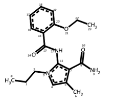 CCCn1cc(C)c(C(N)=O)c1NC(=O)c1ccccc1OCC